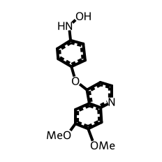 COc1cc2nccc(Oc3ccc(NO)cc3)c2cc1OC